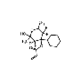 C=CC(=O)OC1(C2CCCCC2)C(F)(F)C(C(F)(F)F)OC(O)(C(F)(F)F)C1(F)F